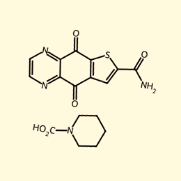 NC(=O)c1cc2c(s1)C(=O)c1nccnc1C2=O.O=C(O)N1CCCCC1